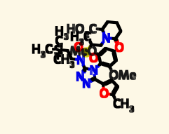 COc1cccc(OC)c1-n1c(-c2ccc(C)o2)nnc1N(CC[Si](C)(C)C)S(=O)(=O)C(C)CN1C(=O)CCCC1C(=O)O